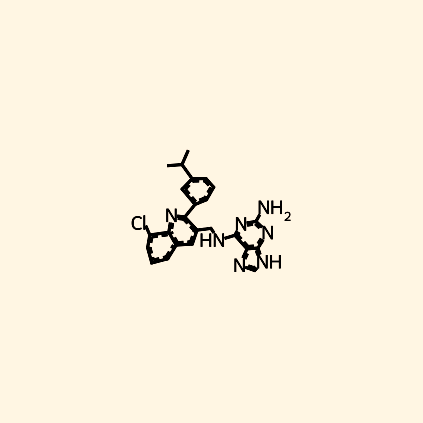 CC(C)c1cccc(-c2nc3c(Cl)cccc3cc2CNc2nc(N)nc3[nH]cnc23)c1